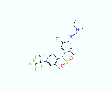 CCN(C)C=Nc1cc(C)c(N(c2ccc(C(F)(C(F)(F)F)C(F)(F)F)cc2C)S(C)(=O)=O)cc1Cl